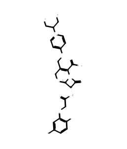 O=C(CSc1cc(Cl)ccc1Cl)N[C@H]1C(=O)N2C(C(=O)O)=C(CSc3cc[n+](C(CO)CO)cc3)CS[C@H]12